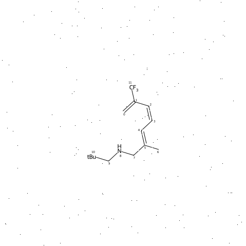 C=C(/C=C\C=C(/C)CNCC(C)(C)C)C(F)(F)F